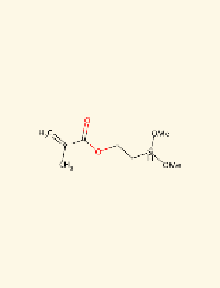 C=C(C)C(=O)OCC[SiH](OC)OC